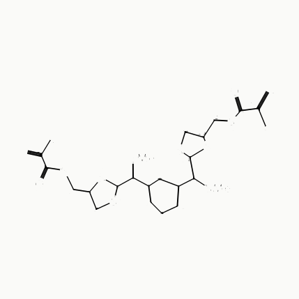 C=C(C)C(=O)SCC1CSC(C(SC)C2CCCC(C(SC)C3SCC(CSC(=O)C(=C)C)S3)C2)S1